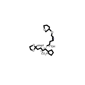 CCCCCCCC1(CC[C@@H](C(=O)O)[C@H](C[C@@H](O)C/C=C\COC2CCCOC2)C2CCCC2)OCCO1